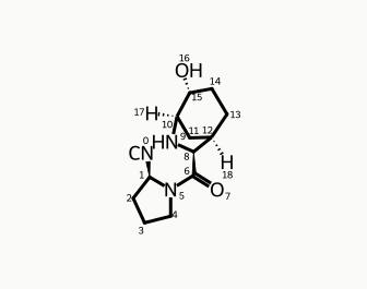 N#C[C@@H]1CCCN1C(=O)[C@H]1N[C@@H]2C[C@H]1CC[C@H]2O